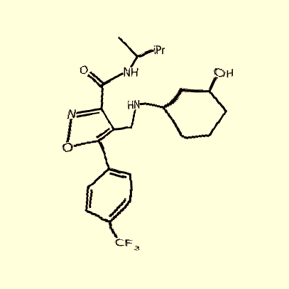 CC(C)C(C)NC(=O)c1noc(-c2ccc(C(F)(F)F)cc2)c1CNC1CCCC(O)C1